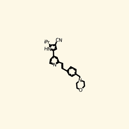 CC(C)c1[nH]c(-c2ccnc(C=Cc3ccc(CN4CCOCC4)cc3)c2)cc1C#N